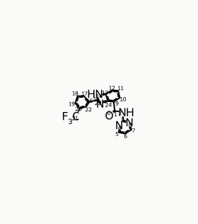 O=C(Nc1ncccn1)c1cccc2[nH]c(-c3cccc(C(F)(F)F)c3)nc12